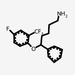 NCCCCC(Oc1ccc(F)cc1C(F)(F)F)c1ccccc1